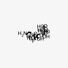 Nc1ccn([C@@H]2OC(COP(=O)(O)OP(=O)(O)OP(=O)(O)O)=C(O)[C@]2(O)CF)c(=O)n1